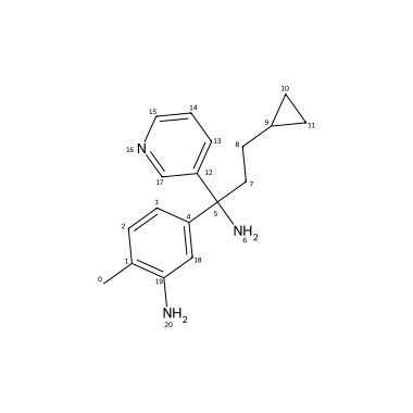 Cc1ccc(C(N)(CCC2CC2)c2cccnc2)cc1N